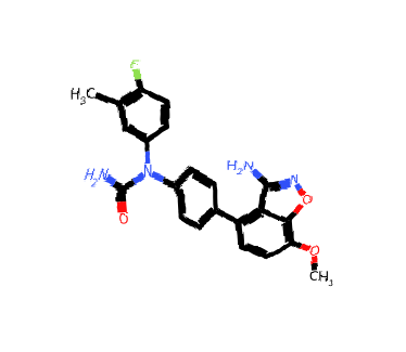 COc1ccc(-c2ccc(N(C(N)=O)c3ccc(F)c(C)c3)cc2)c2c(N)noc12